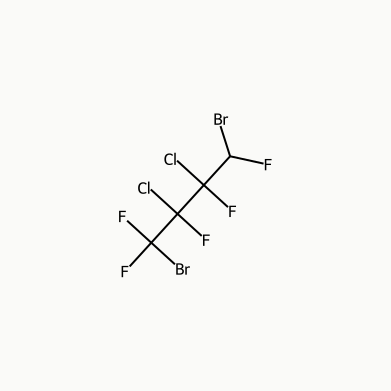 FC(Br)C(F)(Cl)C(F)(Cl)C(F)(F)Br